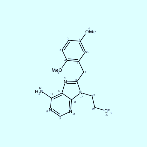 COc1ccc(OC)c(Cc2nc3c(N)ncnc3n2CCC(F)(F)F)c1